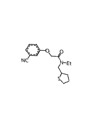 CCN(CC1CCCS1)C(=O)COc1cccc(C#N)c1